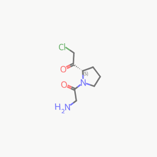 NCC(=O)N1CCC[C@H]1C(=O)CCl